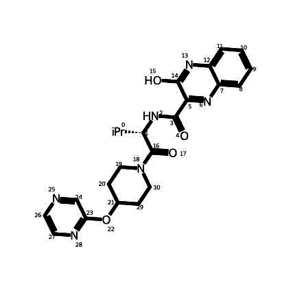 CC(C)[C@H](NC(=O)c1nc2ccccc2nc1O)C(=O)N1CCC(Oc2cnccn2)CC1